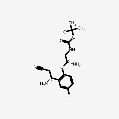 CC(C)(C)OC(=O)NC[C@H](N)Oc1ccc(F)cc1[C@H](N)CC#N